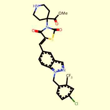 COC(=O)C1(N2C(=O)SC(=Cc3ccc4c(cnn4Cc4ccc(Cl)cc4C(F)(F)F)c3)C2=O)CCNCC1